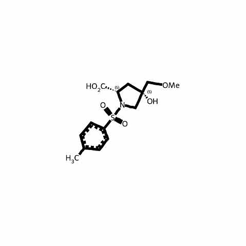 COC[C@]1(O)C[C@@H](C(=O)O)N(S(=O)(=O)c2ccc(C)cc2)C1